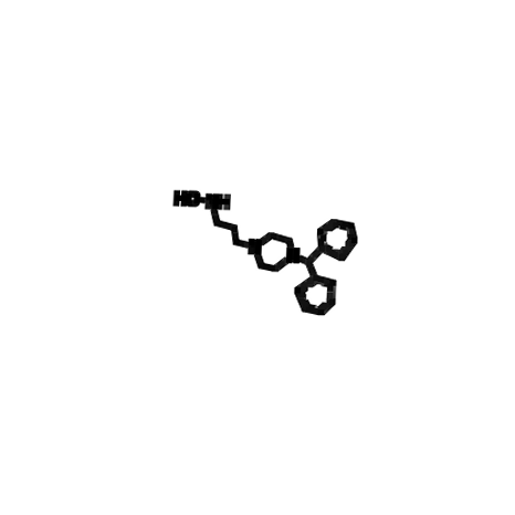 ONCCCN1CCN(C(c2ccccc2)c2ccccc2)CC1